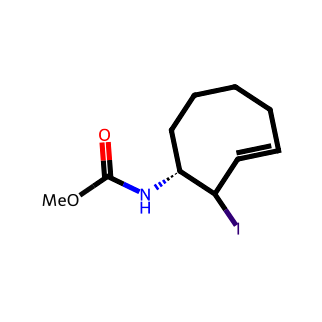 COC(=O)N[C@@H]1CCCC/C=C/C1I